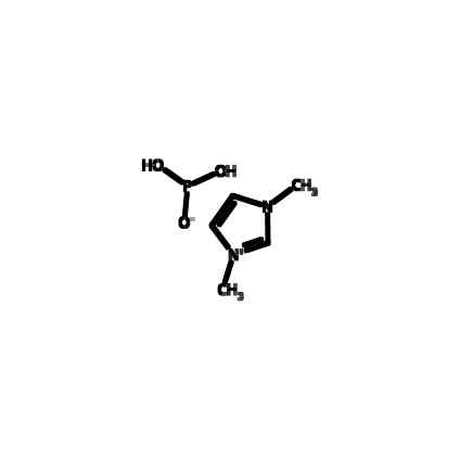 Cn1cc[n+](C)c1.[O-]P(O)O